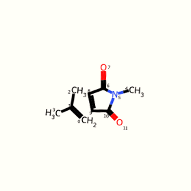 C=C(C)C.CN1C(=O)C=CC1=O